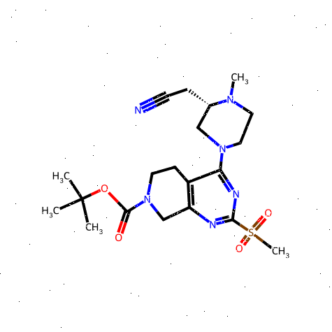 CN1CCN(c2nc(S(C)(=O)=O)nc3c2CCN(C(=O)OC(C)(C)C)C3)C[C@@H]1CC#N